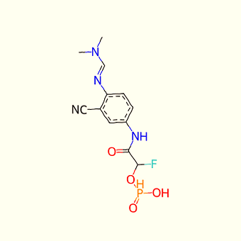 CN(C)C=Nc1ccc(NC(=O)C(F)O[PH](=O)O)cc1C#N